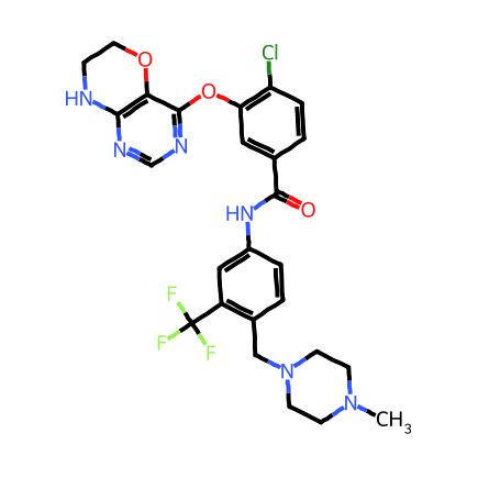 CN1CCN(Cc2ccc(NC(=O)c3ccc(Cl)c(Oc4ncnc5c4OCCN5)c3)cc2C(F)(F)F)CC1